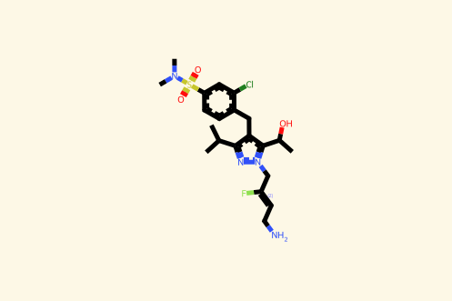 CC(C)c1nn(C/C(F)=C/CN)c(C(C)O)c1Cc1ccc(S(=O)(=O)N(C)C)cc1Cl